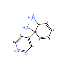 NC1C=CC=CC1(N)c1ccncc1